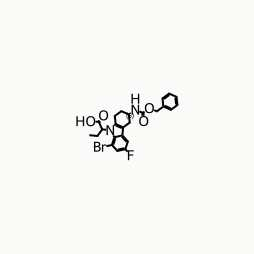 CCC(C(=O)O)n1c2c(c3cc(F)cc(Br)c31)C[C@@H](NC(=O)OCc1ccccc1)CC2